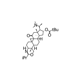 CC(C)C1=N[C@H]2CCC34CC35C(=O)C[C@]3(C)[C@@H]([C@H](C)N(C)C)[C@H](OC(=O)C(C)(C)C)C[C@@]3(C)[C@@H]5CC[C@H]4[C@]2(C)CO1